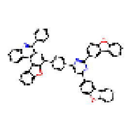 c1ccc(-c2nc3ccccc3c3c2cc(-c2ccc(-c4cc(-c5ccc6oc7ccccc7c6c5)nc(-c5ccc6oc7ccccc7c6c5)n4)cc2)c2oc4ccccc4c23)cc1